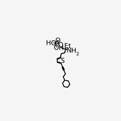 CCC(N)(CCc1ccc(C#CCCC2CCCCC2)s1)COP(=O)(O)O